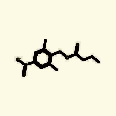 CCCC(=O)OSc1c(C)cc([N+](=O)[O-])cc1C